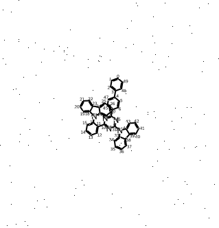 c1ccc(-c2ccc(-c3nc(-c4ccccc4-n4c5ccccc5c5ccccc54)nc(-n4c5ccccc5c5ccccc54)n3)cc2)cc1